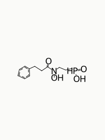 O=C(CCc1ccccc1)N(O)CCC[PH](=O)O